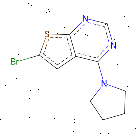 Brc1cc2c(N3CCCC3)ncnc2s1